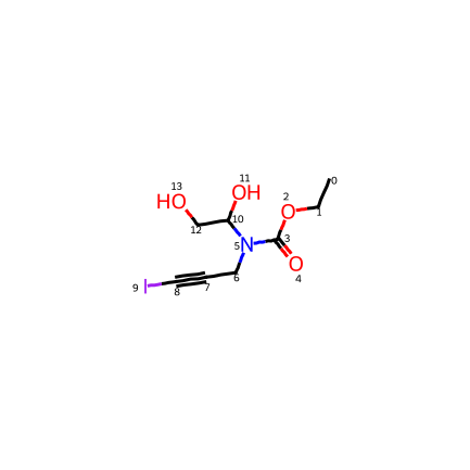 CCOC(=O)N(CC#CI)C(O)CO